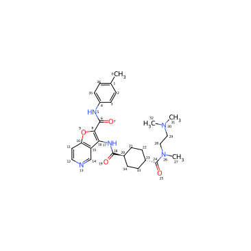 Cc1ccc(NC(=O)c2oc3ccncc3c2NC(=O)[C@H]2CC[C@H](C(=O)N(C)CCN(C)C)CC2)cc1